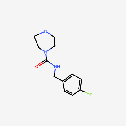 O=C(NCc1ccc(F)cc1)N1CC[N]CC1